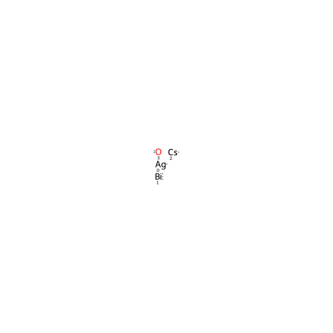 [Ag].[Bi].[Cs].[O]